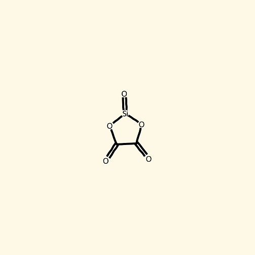 O=C1O[Si](=O)OC1=O